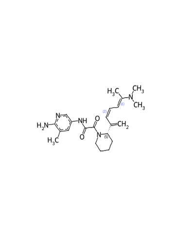 C=C(/C=C\C=C(/C)N(C)C)[C@@H]1CCCCN1C(=O)C(=O)Nc1cnc(N)c(C)c1